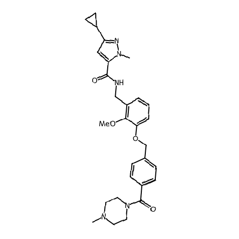 COc1c(CNC(=O)c2cc(C3CC3)nn2C)cccc1OCc1ccc(C(=O)N2CCN(C)CC2)cc1